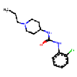 CCCN1CCC(NC(=O)Nc2ccccc2Cl)CC1